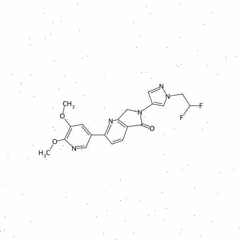 COc1cc(-c2ccc3c(n2)CN(c2cnn(CC(F)F)c2)C3=O)cnc1OC